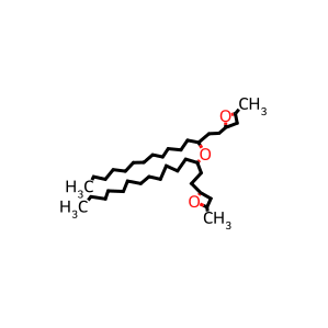 CCCCCCCCCCCCC(CCC1CC(C)O1)OC(CCCCCCCCCCCC)CCC1CC(C)O1